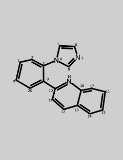 c1ccc(-n2ccnc2)c(-c2ccc3ccccc3n2)c1